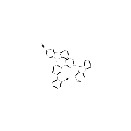 N#Cc1ccc2c(c1)c1ccccc1n2-c1ccc(-c2ccccc2C#N)cc1-c1cccc(-n2c3ccccc3c3ccccc32)c1